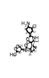 C[C@H](NC(=O)c1ccc(N)c(Cl)c1)C(=O)N1N=C[C@H](C)[C@H]1C(=O)N[C@H](C=O)CC(=O)O